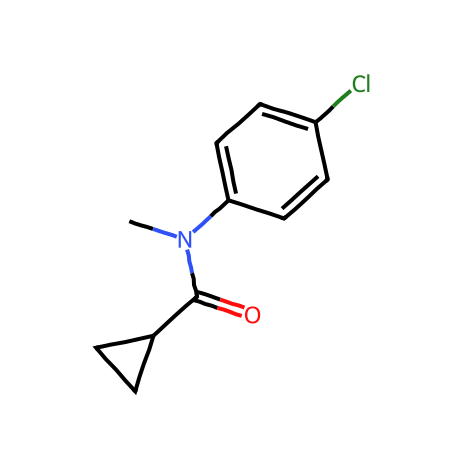 CN(C(=O)C1CC1)c1ccc(Cl)cc1